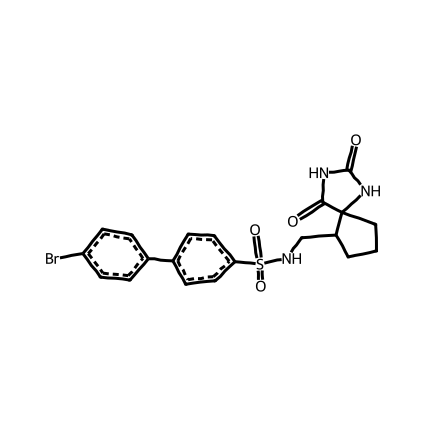 O=C1NC(=O)C2(CCCC2CNS(=O)(=O)c2ccc(-c3ccc(Br)cc3)cc2)N1